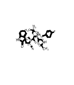 CC(=O)N[C@@H](Cc1ccc(F)cc1)C(=O)N(C)[C@@H](CC(C)(C)C)C(=O)N1C[C@]2(C[C@H]1C#N)C(=O)Nc1ccccc12